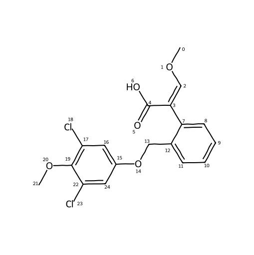 COC=C(C(=O)O)c1ccccc1COc1cc(Cl)c(OC)c(Cl)c1